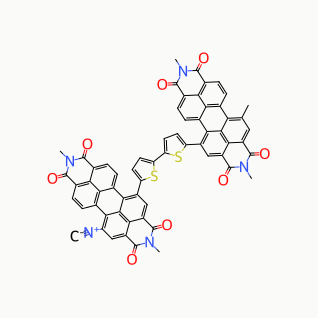 [C-]#[N+]c1cc2c3c(cc(-c4ccc(-c5ccc(-c6cc7c8c(cc(C)c9c%10ccc%11c%12c(ccc(c6c89)c%12%10)C(=O)N(C)C%11=O)C(=O)N(C)C7=O)s5)s4)c4c5ccc6c7c(ccc(c1c34)c75)C(=O)N(C)C6=O)C(=O)N(C)C2=O